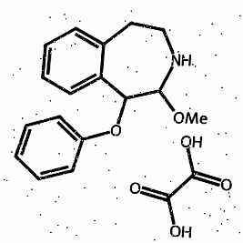 COC1NCCc2ccccc2C1Oc1ccccc1.O=C(O)C(=O)O